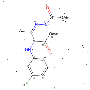 COC(=O)N/N=C(/C)C(Nc1cccc(F)c1)C(=O)OC